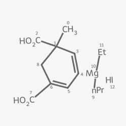 CC1(C(=O)O)C=CC=C(C(=O)O)C1.CC[CH2][Mg][CH2]C.I